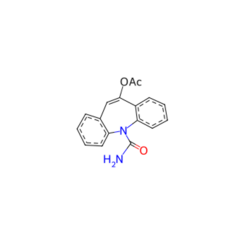 CC(=O)OC1=Cc2ccccc2N(C(N)=O)c2ccccc21